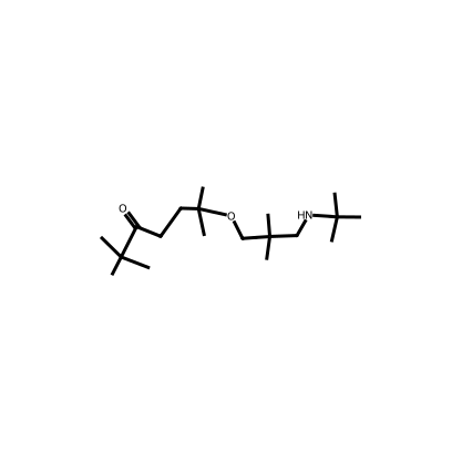 CC(C)(CNC(C)(C)C)COC(C)(C)CCC(=O)C(C)(C)C